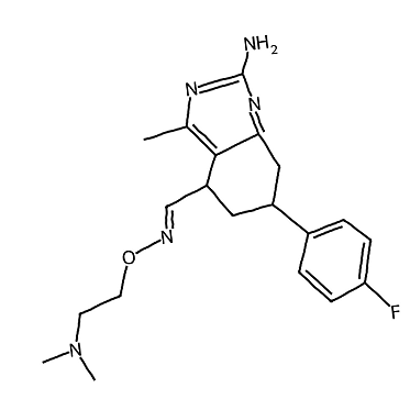 Cc1nc(N)nc2c1C(C=NOCCN(C)C)CC(c1ccc(F)cc1)C2